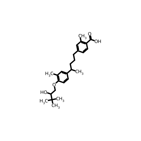 Cc1cc(C(C)CCCc2ccc(C(=O)O)c(C)c2)ccc1OCC(O)C(C)(C)C